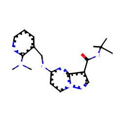 CN(C)c1ncccc1CNc1ccn2ncc(C(=O)NC(C)(C)C)c2n1